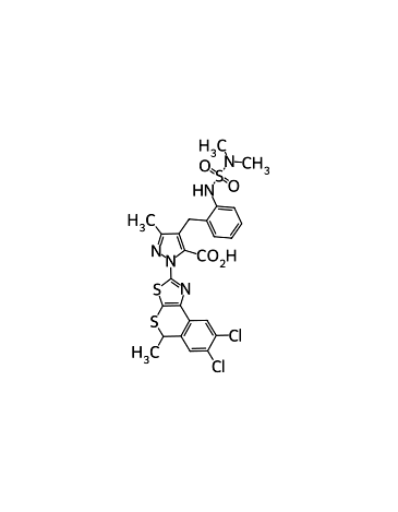 Cc1nn(-c2nc3c(s2)SC(C)c2cc(Cl)c(Cl)cc2-3)c(C(=O)O)c1Cc1ccccc1NS(=O)(=O)N(C)C